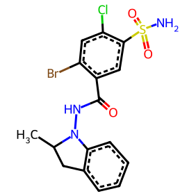 CC1Cc2ccccc2N1NC(=O)c1cc(S(N)(=O)=O)c(Cl)cc1Br